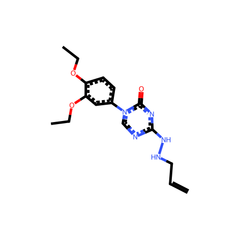 C=CCNNc1ncn(-c2ccc(OCC)c(OCC)c2)c(=O)n1